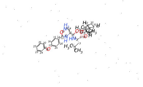 CC(C)C[C@H](NC(=O)[C@H](CN)NC(=O)c1ccc(Oc2ccccc2)cc1)B1O[C@@H]2C[C@@H]3C[C@@H](C3(C)C)[C@]2(C)O1